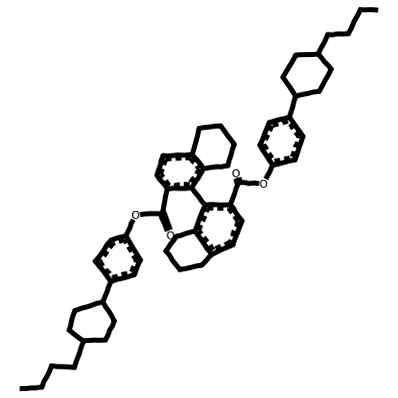 CCCCC1CCC(c2ccc(OC(=O)c3ccc4c(c3-c3c(C(=O)Oc5ccc(C6CCC(CCCC)CC6)cc5)ccc5c3CCCC5)CCCC4)cc2)CC1